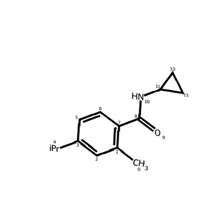 Cc1cc(C(C)C)ccc1C(=O)NC1CC1